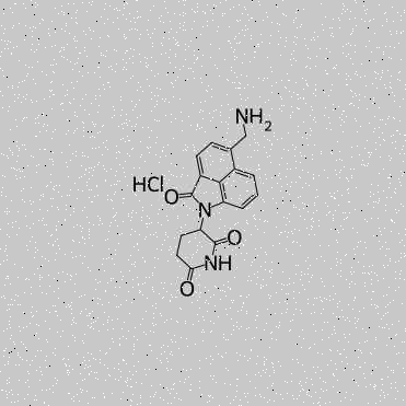 Cl.NCc1ccc2c3c(cccc13)N(C1CCC(=O)NC1=O)C2=O